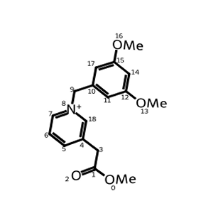 COC(=O)Cc1ccc[n+](Cc2cc(OC)cc(OC)c2)c1